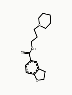 O=C(NCCCN1CCCCC1)c1ccc2c(c1)CCO2